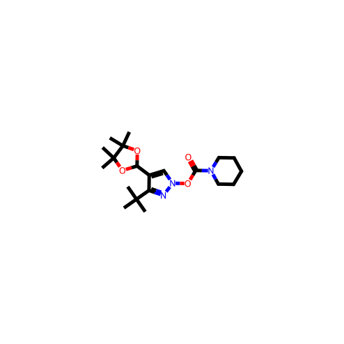 CC(C)(C)c1nn(OC(=O)N2CCCCC2)cc1C1OC(C)(C)C(C)(C)O1